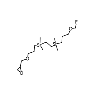 C[Si](C)(CCCOCF)CC[Si](C)(C)CCCOCC1CO1